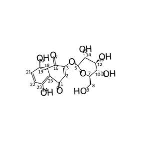 O=C1C=C(OC2O[C@H](CO)[C@@H](O)[C@H](O)[C@H]2O)C(=O)c2c(O)ccc(O)c21